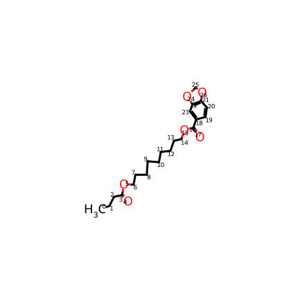 CCCC(=O)OCCCCCCCCCOC(=O)c1ccc2c(c1)OCO2